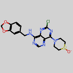 [O-][S+]1CCN(c2nc(Cl)nc3c(NCc4ccc5c(c4)OCO5)ncnc23)CC1